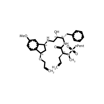 C=CCO[C@@H]1C[C@H](NC[C@H](O)[C@H](Cc2ccccc2)NC(=O)[C@H](CC=C)N(C)S(=O)(=O)CCCCC)c2cc(OC)ccc21